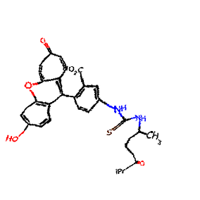 CC(CC(=O)C(C)C)NC(=S)Nc1ccc(-c2c3ccc(=O)cc-3oc3cc(O)ccc23)c(C(=O)O)c1